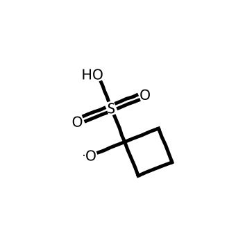 [O]C1(S(=O)(=O)O)CCC1